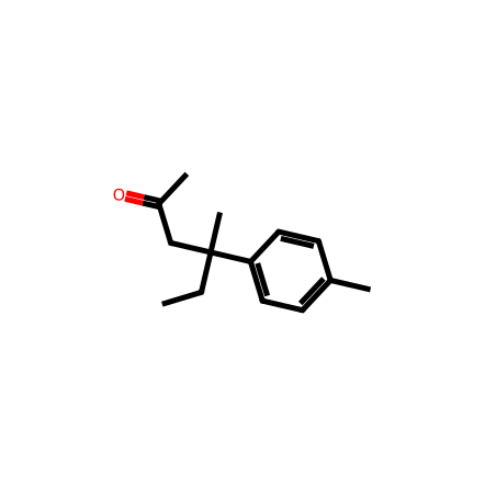 CCC(C)(CC(C)=O)c1ccc(C)cc1